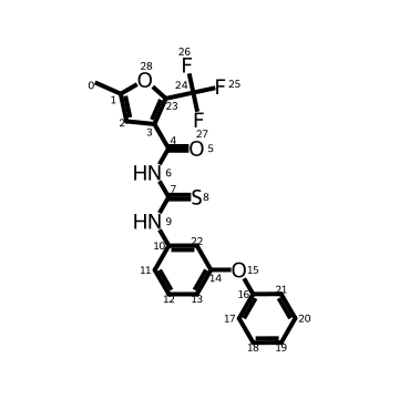 Cc1cc(C(=O)NC(=S)Nc2cccc(Oc3ccccc3)c2)c(C(F)(F)F)o1